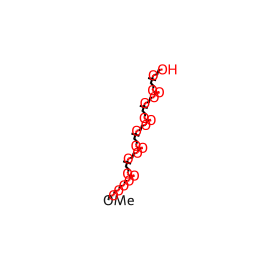 COCOCOCOCOC(=O)OCCC(C)(C)OCCOC(=O)OCCC(C)(C)OCCOC(=O)OCCC(C)(C)OCCOC(=O)OCCC(C)(C)OCCO